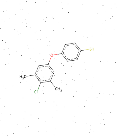 Cc1cc(Oc2ccc(S)cc2)cc(C)c1Cl